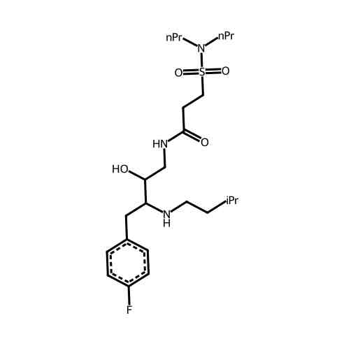 CCCN(CCC)S(=O)(=O)CCC(=O)NCC(O)C(Cc1ccc(F)cc1)NCCC(C)C